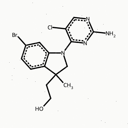 CC1(CCO)CN(c2nc(N)ncc2Cl)c2cc(Br)ccc21